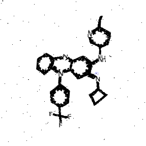 Cc1ccc(Nc2cc3nc4ccccc4n(-c4ccc(C(F)(F)F)cc4)c-3c/c2=N\C2CCC2)cn1